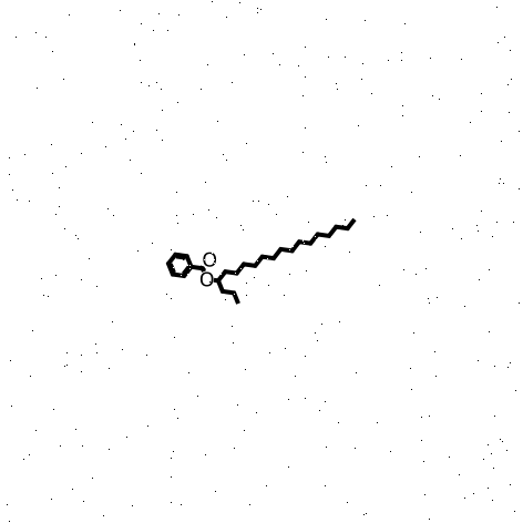 CCCCCCCCCCCCCCCC(CCC)OC(=O)c1ccccc1